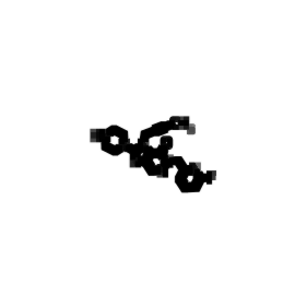 CC#CCn1c(N2CCNCC2)nc2cnn(Cc3cccc(F)n3)c(=O)c21